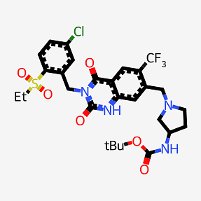 CCS(=O)(=O)c1ccc(Cl)cc1Cn1c(=O)[nH]c2cc(CN3CCC(NC(=O)OC(C)(C)C)C3)c(C(F)(F)F)cc2c1=O